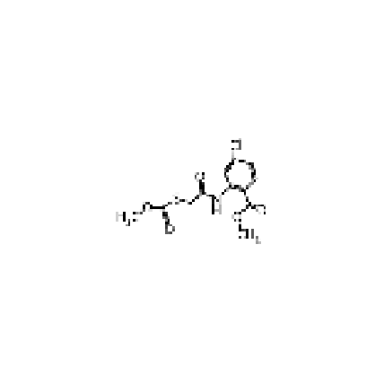 COC(=O)SCC(=O)Nc1cc(Cl)ccc1C(=O)OC